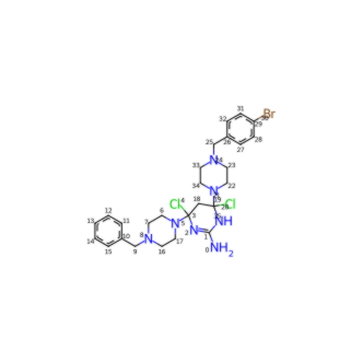 NC1=NC(Cl)(N2CCN(Cc3ccccc3)CC2)CC(Cl)(N2CCN(Cc3ccc(Br)cc3)CC2)N1